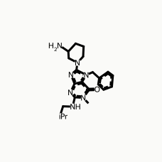 CC(C)CNc1nc2nc(N3CCCC(N)C3)n(Cc3ccccc3)c2c(=O)n1C